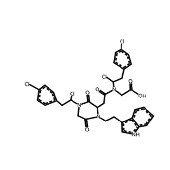 O=C(O)CN(C(=O)CC1C(=O)N(C(Cl)Cc2ccc(Cl)cc2)CC(=O)N1CCc1c[nH]c2ccccc12)C(Cl)Cc1ccc(Cl)cc1